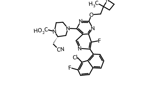 CN1CCC1(C)COc1nc(N2CCN(C(=O)O)[C@@H](CC#N)C2)c2cnc(-c3cccc4ccc(F)c(Cl)c34)c(F)c2n1